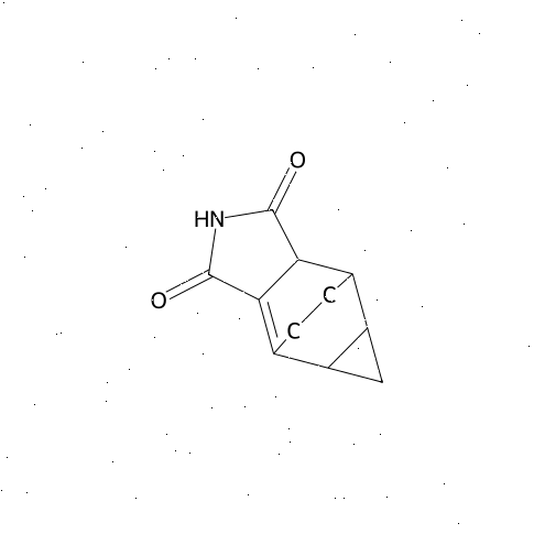 O=C1NC(=O)C2C1=C1CCC2C2CC12